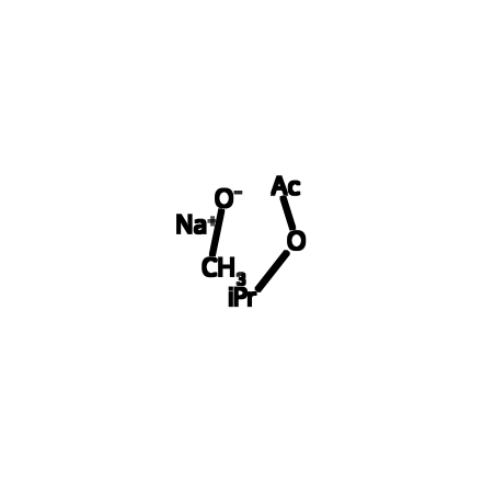 CC(=O)OC(C)C.C[O-].[Na+]